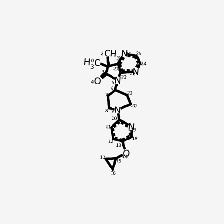 CC1(C)C(=O)N(C2CCN(c3ccc(OC4CC4)cn3)CC2)c2nccnc21